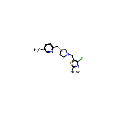 CC(=O)Nc1nc(F)c(CN2CC[C@H](Cc3ccc(C)cn3)C2)s1